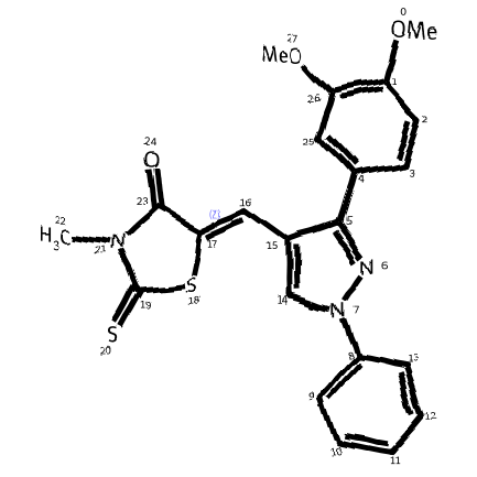 COc1ccc(-c2nn(-c3ccccc3)cc2/C=C2\SC(=S)N(C)C2=O)cc1OC